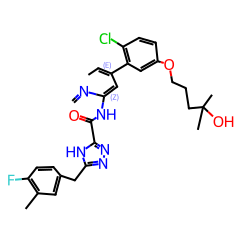 C=N/C(=C\C(=C/C)c1cc(OCCCC(C)(C)O)ccc1Cl)NC(=O)c1nnc(Cc2ccc(F)c(C)c2)[nH]1